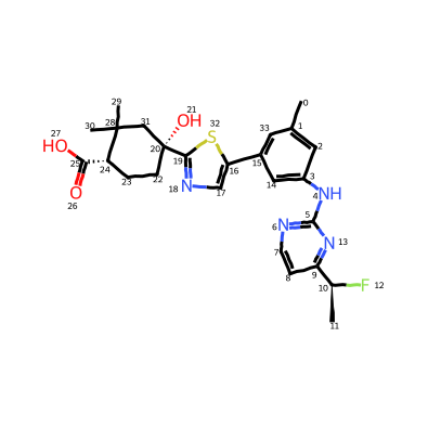 Cc1cc(Nc2nccc([C@H](C)F)n2)cc(-c2cnc([C@@]3(O)CC[C@H](C(=O)O)C(C)(C)C3)s2)c1